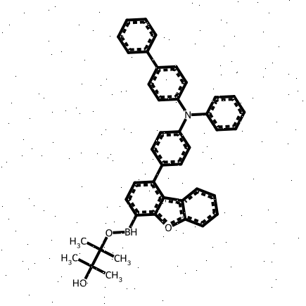 CC(C)(O)C(C)(C)OBc1ccc(-c2ccc(N(c3ccccc3)c3ccc(-c4ccccc4)cc3)cc2)c2c1oc1ccccc12